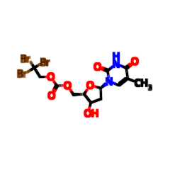 Cc1cn([C@H]2CC(O)[C@@H](COC(=O)OCC(Br)(Br)Br)O2)c(=O)[nH]c1=O